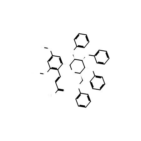 COc1cc(OC)c(/C=C/C(=O)O)c([C@H]2O[C@H](COc3ccccc3)[C@@H](Oc3ccccc3)[C@H](Oc3ccccc3)[C@@H]2Oc2ccccc2)c1